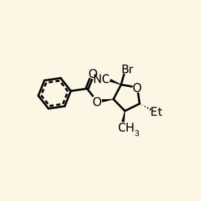 CC[C@H]1O[C@](Br)(C#N)[C@H](OC(=O)c2ccccc2)[C@@H]1C